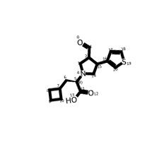 O=CC1CN([C@H](CC2CCC2)C(=O)O)CC1c1ccsc1